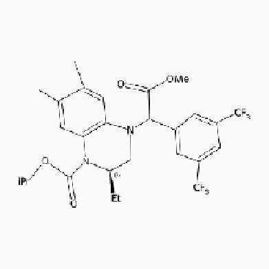 CC[C@@H]1CN(C(C(=O)OC)c2cc(C(F)(F)F)cc(C(F)(F)F)c2)c2cc(C)c(C)cc2N1C(=O)OC(C)C